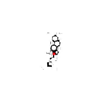 Cc1nn(CC(=O)[C@H]2[C@@H]3CC4([C@@H]5CC[C@@H]6C[C@](C)(O)CC[C@@H]6C5CC[C@]24C)[C@@H]3C)cc1C#N